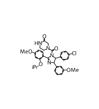 COc1cccc(C2N=C(c3ccc(OC)cc3OC(C)C)N(C(=O)N3CCNC(=O)C3)C2c2ccc(Cl)cc2)c1